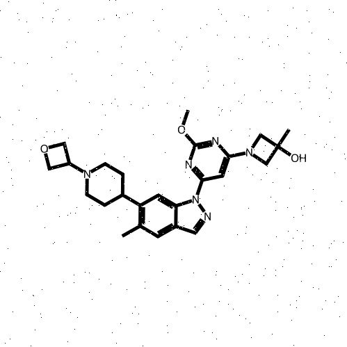 COc1nc(N2CC(C)(O)C2)cc(-n2ncc3cc(C)c(C4CCN(C5COC5)CC4)cc32)n1